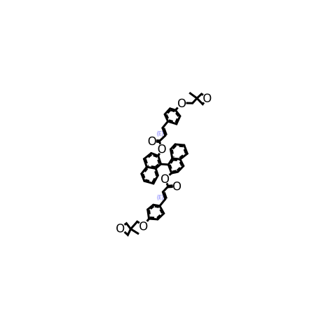 CC1(COc2ccc(/C=C/C(=O)Oc3ccc4ccccc4c3-c3c(OC(=O)/C=C/c4ccc(OCC5(C)COC5)cc4)ccc4ccccc34)cc2)COC1